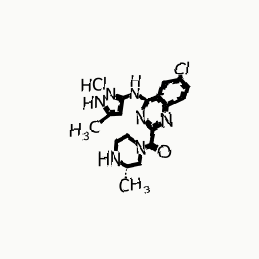 Cc1cc(Nc2nc(C(=O)N3CCN[C@@H](C)C3)nc3ccc(Cl)cc23)n[nH]1.Cl